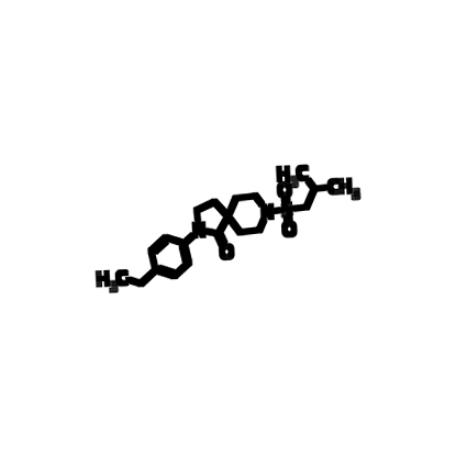 CCc1ccc(N2CCC3(CCN(S(=O)(=O)CC(C)C)CC3)C2=O)cc1